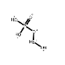 O=P(O)(O)OBO